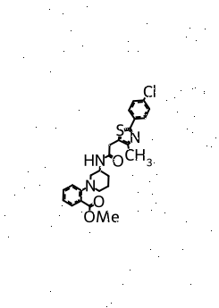 COC(=O)c1ccccc1N1CCCC(NC(=O)Cc2sc(-c3ccc(Cl)cc3)nc2C)C1